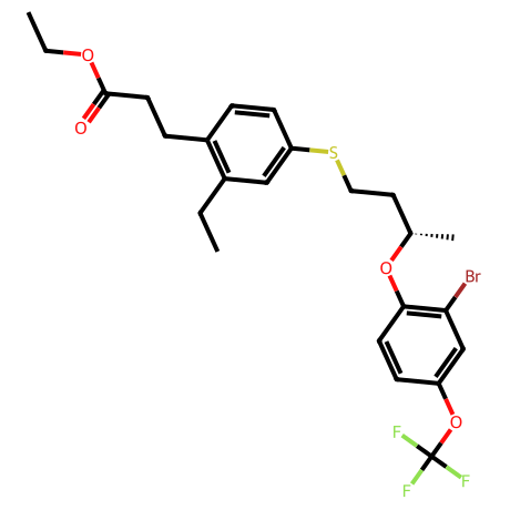 CCOC(=O)CCc1ccc(SCC[C@H](C)Oc2ccc(OC(F)(F)F)cc2Br)cc1CC